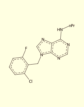 CCCNc1ncnc2c1ncn2Cc1c(F)cccc1Cl